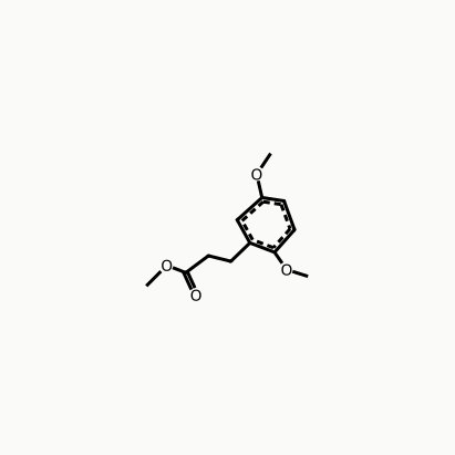 COC(=O)CCc1cc(OC)ccc1OC